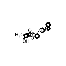 CC1C(CO)C2CC1C1C(=O)N(C[C@@H]3CCCC[C@H]3CN3CCC(n4ccc5ccccc54)CC3)C(=O)C21